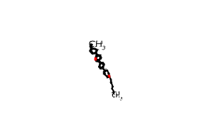 CCCCCCC1CC=C(c2ccc(-c3ccc(C4CCC(CC)CC4)cc3)cc2)CC1